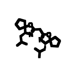 CC(C)C[C@@H]1N=C(CC2=N[C@@H](CC(C)C)C3(CCCC3)O2)OC12CCCC2